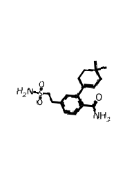 CC1(C)CC=C(c2cc(CCS(N)(=O)=O)ccc2C(N)=O)CC1